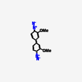 COC1=CC(=C2C=CC(=[N+]=[N-])C(OC)=C2)C=CC1=[N+]=[N-]